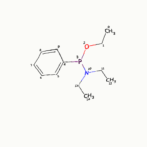 CCOP(c1ccccc1)N(CC)CC